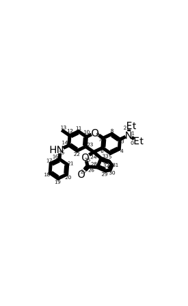 CCN(CC)c1ccc2c(c1)Oc1cc(C)c(Nc3ccccc3)cc1C21OC(=O)c2ccccc21